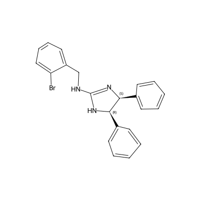 Brc1ccccc1CNC1=N[C@@H](c2ccccc2)[C@@H](c2ccccc2)N1